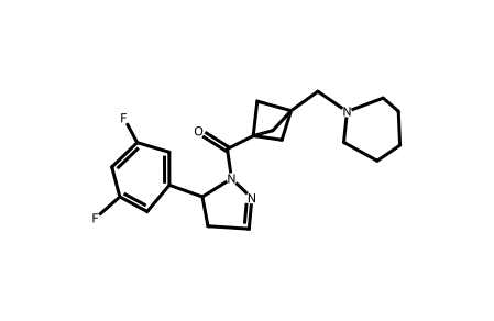 O=C(N1N=CCC1c1cc(F)cc(F)c1)C12CC(CN3CCCCC3)(C1)C2